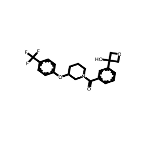 O=C(c1cccc(C2(O)COC2)c1)N1CCCC(Oc2ccc(C(F)(F)F)cc2)C1